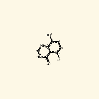 O=c1[nH]cnc2c(O)ccc(F)c12